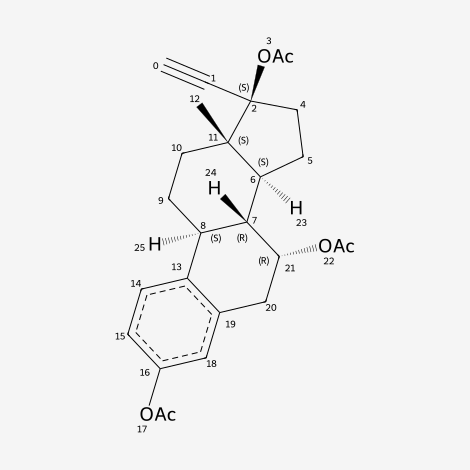 C#C[C@]1(OC(C)=O)CC[C@H]2[C@H]3[C@H](CC[C@@]21C)c1ccc(OC(C)=O)cc1C[C@H]3OC(C)=O